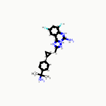 CC(C)(N)c1ccc([C@H]2C[C@@H]2Cc2nc3c4cc(F)cc(F)c4nc(N)n3n2)cc1